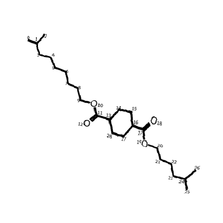 CC(C)CCCCCCCOC(=O)C1CCC(C(=O)OCCCCC(C)C)CC1